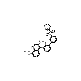 Cc1cnc2c(C(F)(F)F)cccc2c1-c1cccc(-c2cccc(S(=O)(=O)N3CCCC3)c2)c1